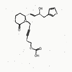 O=C(O)OCCC#CCN1C(=O)CCC[C@@H]1/C=C/C(O)Cc1ccsc1